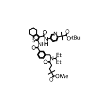 CCC(CC)N(Cc1cccc(C(=O)Nc2sc3c(c2C(=O)Nc2ccc(C(C)(C)C(=O)OC(C)(C)C)nc2)CCCC3)c1)C(=O)CCC(C)(C)C(=O)OC